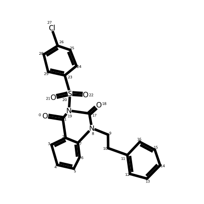 O=c1c2ccccc2n(CCc2ccccc2)c(=O)n1S(=O)(=O)c1ccc(Cl)cc1